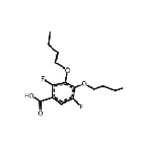 CCCCOc1c(F)cc(C(=O)O)c(F)c1OCCCC